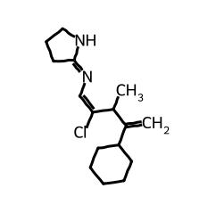 C=C(C1CCCCC1)C(C)/C(Cl)=C\N=C1/CCCN1